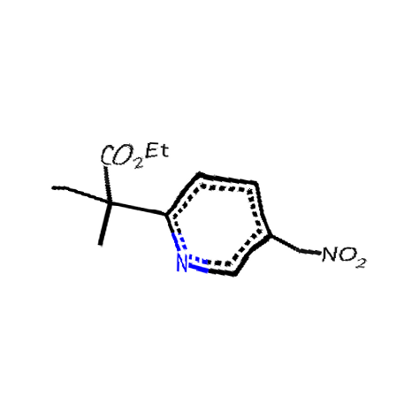 CCOC(=O)C(C)(C)c1ccc([N+](=O)[O-])cn1